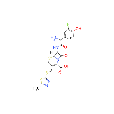 Cc1nnc(SCC2=C(C(=O)O)N3C(=O)C(NC(=O)C(N)c4ccc(O)c(F)c4)[C@@H]3SC2)s1